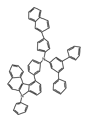 c1ccc(-c2cc(-c3ccccc3)cc(N(c3ccc(-c4ccc5ccccc5c4)cc3)c3cccc(-c4cccc5c4c4c6ccccc6ccc4n5-c4ccccc4)c3)c2)cc1